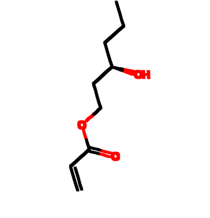 C=CC(=O)OCC[C@H](O)CCC